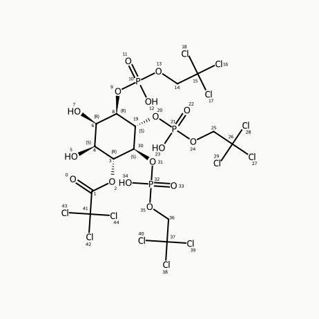 O=C(O[C@@H]1[C@@H](O)[C@@H](O)[C@@H](OP(=O)(O)OCC(Cl)(Cl)Cl)[C@H](OP(=O)(O)OCC(Cl)(Cl)Cl)[C@H]1OP(=O)(O)OCC(Cl)(Cl)Cl)C(Cl)(Cl)Cl